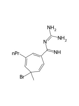 CCCC1=CC(C)(Br)C=CC(C(=N)N=C(N)N)=C1